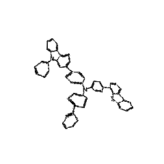 c1ccc(-c2ccc(N(c3ccc(-c4ccc5c6ccccc6n(-c6ccccc6)c5c4)cc3)c3ccc(-c4cccc5c4sc4ccccc45)cc3)cc2)cc1